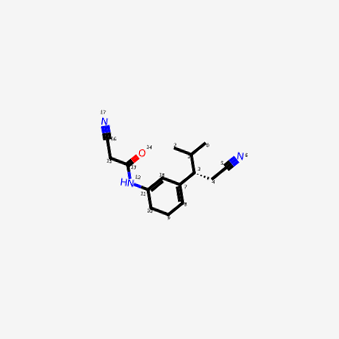 CC(C)[C@H](CC#N)C1=CCCC(NC(=O)CC#N)=C1